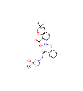 CC1(O)CCN(C/C=C\c2cc(F)ccc2SNc2ccc3c(c2C(=O)O)OC[C@@H]2CC32)C1